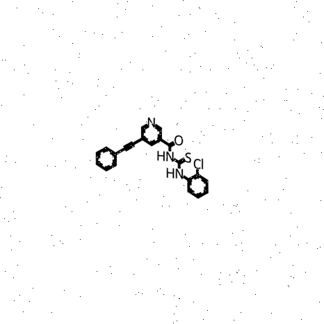 O=C(NC(=S)Nc1ccccc1Cl)c1cncc(C#Cc2ccccc2)c1